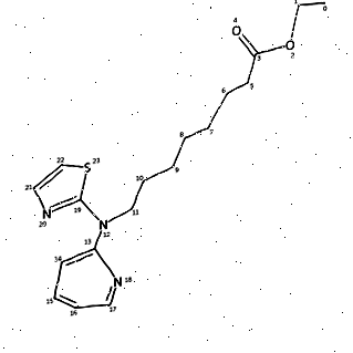 CCOC(=O)CCCCCCCN(c1ccccn1)c1nccs1